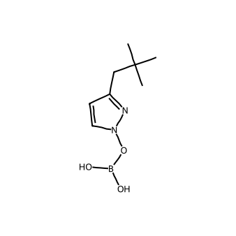 CC(C)(C)Cc1ccn(OB(O)O)n1